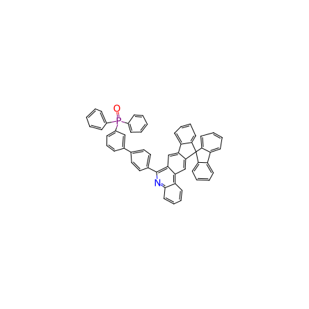 O=P(c1ccccc1)(c1ccccc1)c1cccc(-c2ccc(-c3nc4ccccc4c4cc5c(cc34)-c3ccccc3C53c4ccccc4-c4ccccc43)cc2)c1